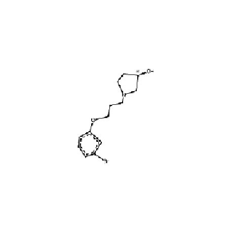 O[C@@H]1CCN(CCCOc2cccc(Br)c2)C1